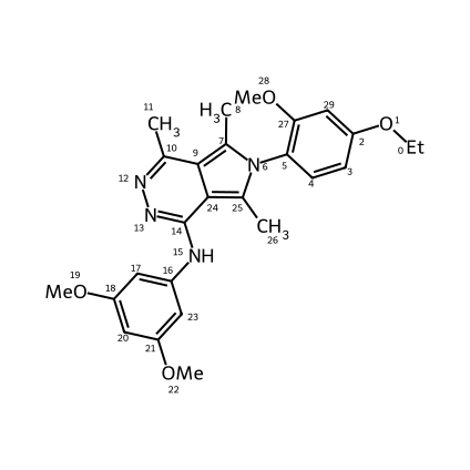 CCOc1ccc(-n2c(C)c3c(C)nnc(Nc4cc(OC)cc(OC)c4)c3c2C)c(OC)c1